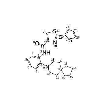 O=C(Nc1ccccc1N1CCC2(CCCC2)CC1)c1csc(-c2cccs2)n1